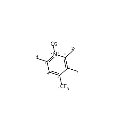 Cc1c(C(F)(F)F)cc(C)[n+]([O-])c1C